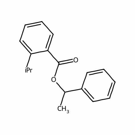 CC(C)c1ccccc1C(=O)OC(C)c1ccccc1